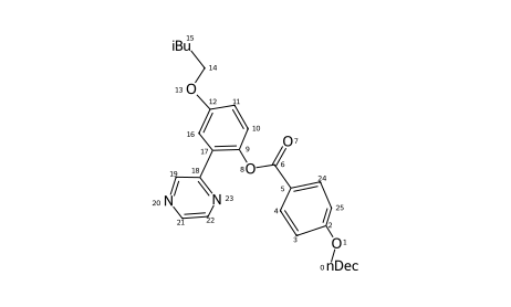 CCCCCCCCCCOc1ccc(C(=O)Oc2ccc(OCC(C)CC)cc2-c2cnccn2)cc1